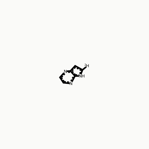 [2H]c1cc2nccnc2[nH]1